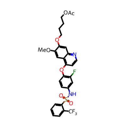 COc1cc2c(Oc3ccc(NS(=O)(=O)c4ccccc4C(F)(F)F)cc3F)ccnc2cc1OCCCCOC(C)=O